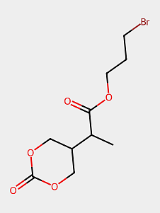 CC(C(=O)OCCCBr)C1COC(=O)OC1